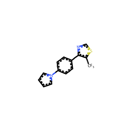 FC(F)(F)c1scnc1-c1ccc(-n2cccc2)cc1